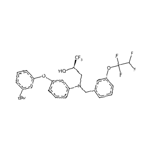 CC(C)(C)c1cccc(Oc2cccc(N(Cc3cccc(OC(F)(F)C(F)F)c3)C[C@@H](O)C(F)(F)F)c2)c1